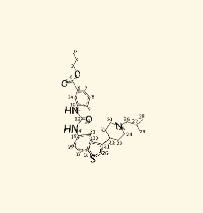 CCCOC(=O)c1cccc(NC(=O)Nc2ccc3scc(C4CCN(CC(C)C)CC4)c3c2)c1